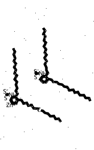 CCCCCCCCCCCCCCCCc1cccc(NC(=S)[S-])c1CCCCCCCCCCCCCCCC.CCCCCCCCCCCCCCCCc1cccc(NC(=S)[S-])c1CCCCCCCCCCCCCCCC.[Zn+2]